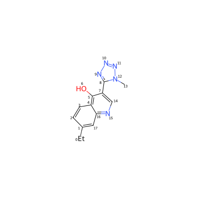 CCc1ccc2c(O)c(-c3nnnn3C)cnc2c1